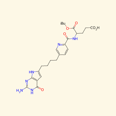 CCC(C)OC(=O)C(CCC(=O)O)NC(=O)c1ccc(CCCCc2cc3c(=O)[nH]c(N)nc3[nH]2)cn1